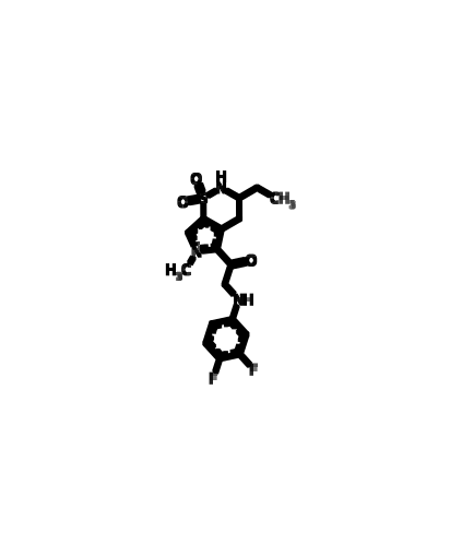 CCC1Cc2c(cn(C)c2C(=O)CNc2ccc(F)c(F)c2)S(=O)(=O)N1